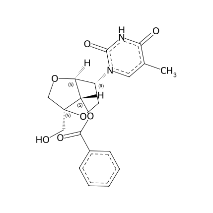 Cc1cn([C@@H]2CO[C@@]3(CO)CO[C@@H]2[C@@H]3OC(=O)c2ccccc2)c(=O)[nH]c1=O